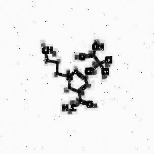 CCCCN1C=CC=C(C(C)=O)C1.O=C(O)C(Cl)(Cl)Cl